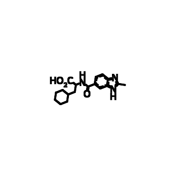 Cc1nc2ccc(C(=O)NC(CC3CCCCC3)C(=O)O)cc2[nH]1